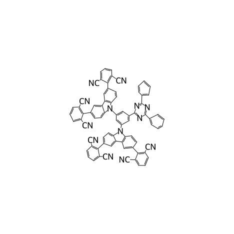 N#Cc1cccc(C#N)c1-c1ccc2c(c1)c1cc(-c3c(C#N)cccc3C#N)ccc1n2-c1cc(-c2nc(-c3ccccc3)nc(-c3ccccc3)n2)cc(-n2c3ccc(-c4c(C#N)cccc4C#N)cc3c3cc(-c4c(C#N)cccc4C#N)ccc32)c1